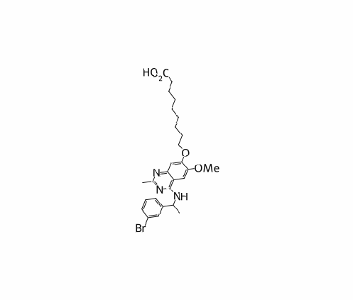 COc1cc2c(NC(C)c3cccc(Br)c3)nc(C)nc2cc1OCCCCCCCCC(=O)O